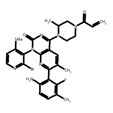 C=CC(=O)N1CCN(c2nc(=O)n(-c3c(SC)ccnc3Br)c3nc(-c4c(N)ccc(C)c4F)c(C)cc23)C(C)C1